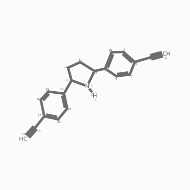 [2H]N1C(c2ccc(C#C)cc2)CCC1c1ccc(C#C)cc1